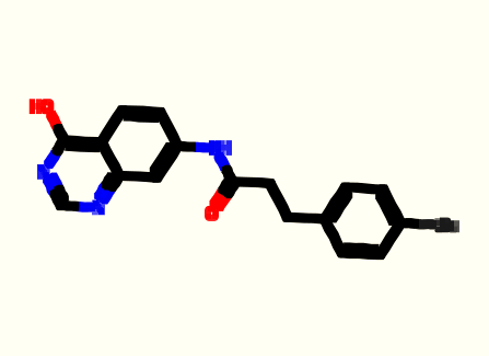 CC(C)(C)c1ccc(CCC(=O)Nc2ccc3c(O)ncnc3c2)cc1